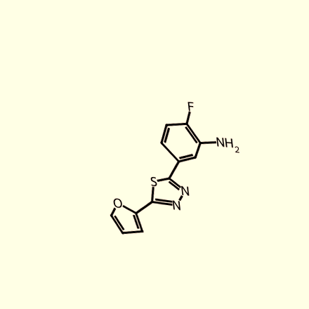 Nc1cc(-c2nnc(-c3ccco3)s2)ccc1F